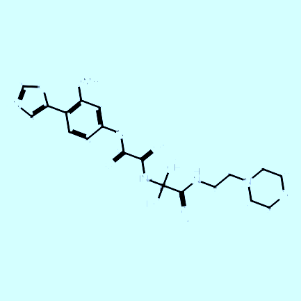 COc1cc(NC(=O)C(=O)NC(C)(C)C(=O)NCCN2CCOCC2)ccc1-c1cnco1